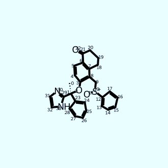 C[C@](Oc1ccc2c(c1C[S+]([O-])c1ccccc1)CCCC2=O)(c1ccccc1)c1ncc[nH]1